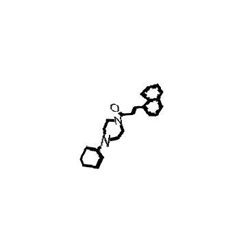 O=C(C=Cc1cccc2ccccc12)N1CCN(C2CCCCC2)CC1